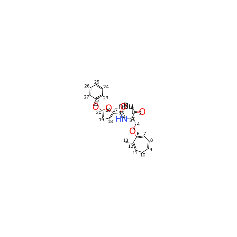 CCCCC(=O)[C@H](COC1=CC=CCC=C1C)NC(=O)c1ccc(Oc2ccccc2)o1